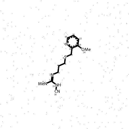 CNC(=NCCCSCc1ncccc1OC)NC#N